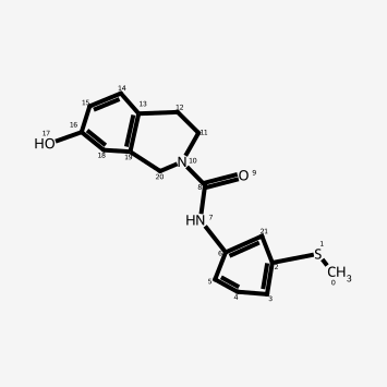 CSc1cccc(NC(=O)N2CCc3ccc(O)cc3C2)c1